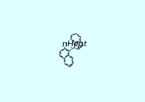 CCCCCCCc1ccc2ccccc2c1[C]1C=Cc2ccccc21